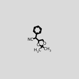 CC1(C)OCC(C(C#N)c2ccccc2)O1